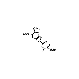 COC(=O)C(C)CC(=O)c1nc2nc(OC)c(OC)cc2s1